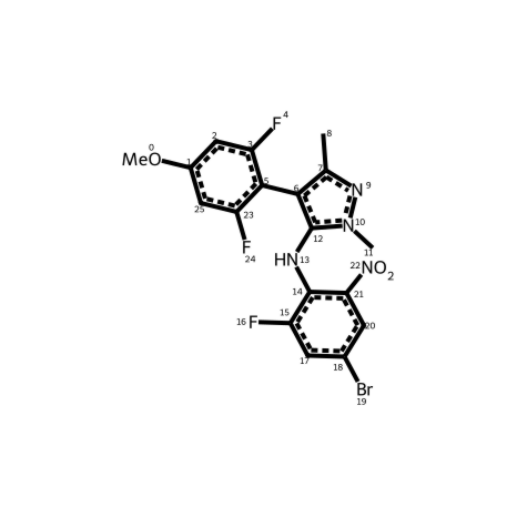 COc1cc(F)c(-c2c(C)nn(C)c2Nc2c(F)cc(Br)cc2[N+](=O)[O-])c(F)c1